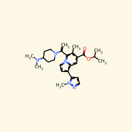 C=C(c1c(C)c(C(=O)OC(C)C)cc2c(-c3ccnn3C)ccn12)N1CCC(N(C)C)CC1